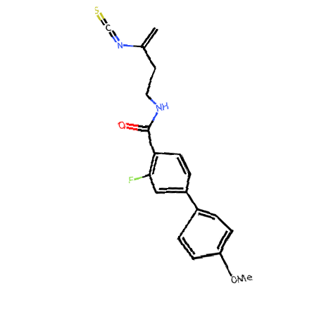 C=C(CCNC(=O)c1ccc(-c2ccc(OC)cc2)cc1F)N=C=S